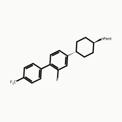 CCCCC[C@H]1CC[C@H](c2ccc(-c3ccc(C(F)(F)F)cc3)c(F)c2)CC1